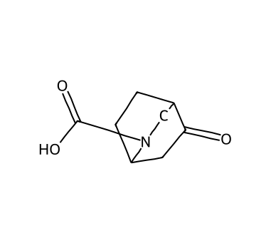 O=C1CC2CCC1CN2C(=O)O